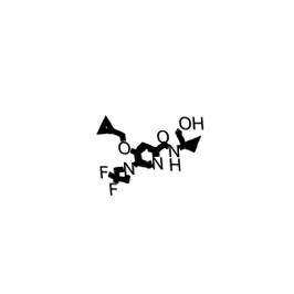 O=C(NC1(CO)CC1)c1cc(OCC2CC2)c(N2CC(F)(F)C2)cn1